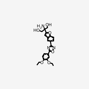 CCOc1ccc(-c2nc(-c3ccc4oc(C(N)(CO)CO)cc4c3)no2)cc1OCC